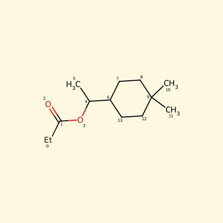 CCC(=O)OC(C)C1CCC(C)(C)CC1